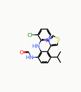 CC(C)c1ccc(NC=O)c(Nc2ncccc2Cl)c1-c1cscn1